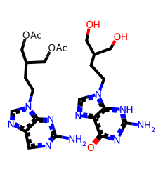 CC(=O)OCC(CCn1cnc2cnc(N)nc21)COC(C)=O.Nc1nc(=O)c2ncn(CCC(CO)CO)c2[nH]1